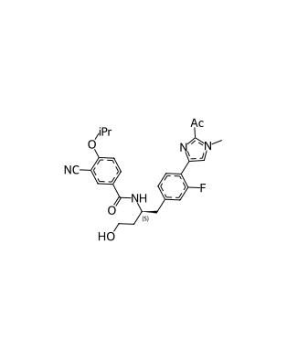 CC(=O)c1nc(-c2ccc(C[C@@H](CCO)NC(=O)c3ccc(OC(C)C)c(C#N)c3)cc2F)cn1C